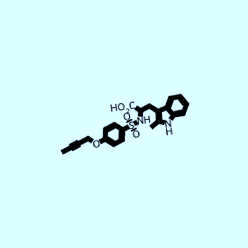 CC#CCOc1ccc(S(=O)(=O)NC(Cc2c(C)[nH]c3ccccc23)C(=O)O)cc1